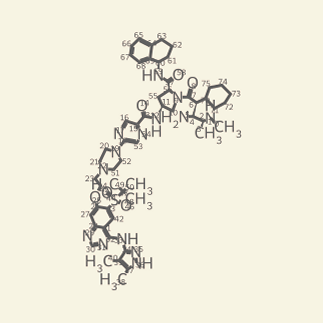 CN[C@@H](C)C(N)[C@@H](C(=O)N1C[C@@H](NC(=O)c2cnc(N3CCN(CCOc4cc5ncnc(Nc6n[nH]c(C)c6C)c5cc4S(=O)(=O)C(C)(C)C)CC3)cn2)C[C@H]1C(=O)N[C@@H]1CCCc2ccccc21)C1CCCCC1